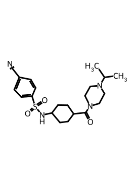 CC(C)N1CCN(C(=O)C2CCC(NS(=O)(=O)c3ccc(C#N)cc3)CC2)CC1